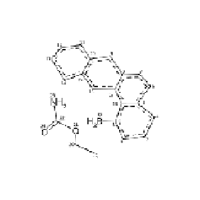 Bc1cccc2ccc3cc4ccccc4cc3c12.CCOC(N)=O